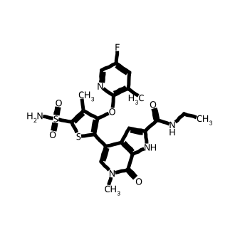 CCNC(=O)c1cc2c(-c3sc(S(N)(=O)=O)c(C)c3Oc3ncc(F)cc3C)cn(C)c(=O)c2[nH]1